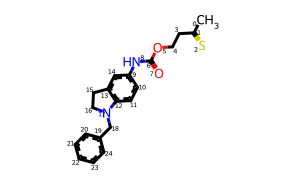 CC(=S)CCOC(=O)Nc1ccc2c(c1)CCN2Cc1ccccc1